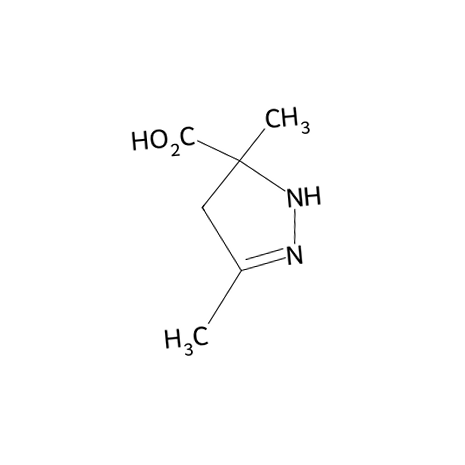 CC1=NNC(C)(C(=O)O)C1